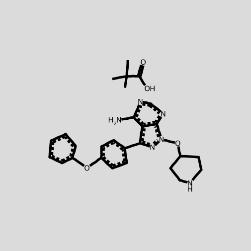 CC(C)(C)C(=O)O.Nc1ncnc2c1c(-c1ccc(Oc3ccccc3)cc1)nn2OC1CCNCC1